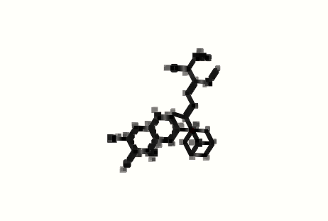 C=N/C(=C\C=C(/C)N1CC2CC(C1)N2Cc1cnc2cc(CC)c(=O)[nH]c2c1)C(=O)NC